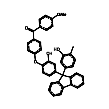 COc1ccc(C(=O)c2ccc(Oc3ccc(C4(c5ccc(C)c(O)c5)c5ccccc5-c5ccccc54)cc3O)cc2)cc1